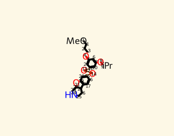 COCCCOc1cc(OC(C)C)cc(S(=O)(=O)c2ccc3c(c2)OC2CNCCC32)c1